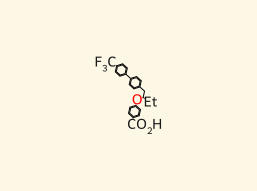 CCC(Cc1ccc(-c2ccc(C(F)(F)F)cc2)cc1)Oc1ccc(C(=O)O)cc1